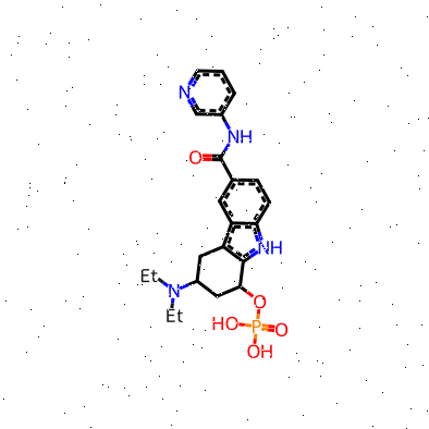 CCN(CC)C1Cc2c([nH]c3ccc(C(=O)Nc4cccnc4)cc23)C(OP(=O)(O)O)C1